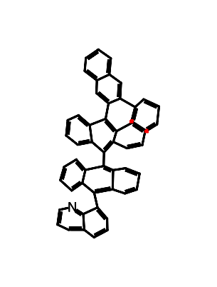 c1ccc(-c2cc3ccccc3cc2-c2c3ccccc3c(-c3c4ccccc4c(-c4cccc5cccnc45)c4ccccc34)c3ccccc23)cc1